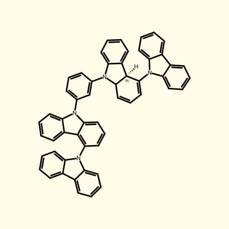 C1=CC2[C@H](C(n3c4ccccc4c4ccccc43)=C1)c1ccccc1N2c1cccc(-n2c3ccccc3c3c(-n4c5ccccc5c5ccccc54)cccc32)c1